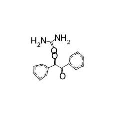 NC(N)=O.O=C(C(=O)c1ccccc1)c1ccccc1